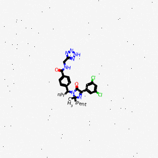 CCCC(c1ccc(C(=O)NCc2nn[nH]n2)cc1)N1C(=O)C(c2cc(Cl)cc(Cl)c2)=NC1(C)C(C)CCC